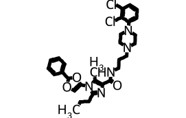 CCCc1nc(C(=O)NCCCN2CCN(c3cccc(Cl)c3Cl)CC2)c(C)n1C1=COC(c2ccccc2)O1